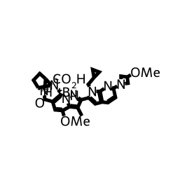 COc1cc(C(=O)N2CC3CCC2[C@@H]3N(C(=O)O)C(C)(C)C)cn2nc(-c3cc4ccc(N5CC(OC)C5)nc4n3CC3CC3)c(C)c12